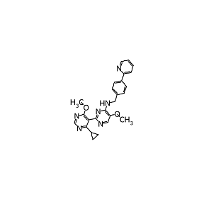 COc1cnc(-c2c(OC)ncnc2C2CC2)nc1NCc1ccc(-c2ccccn2)cc1